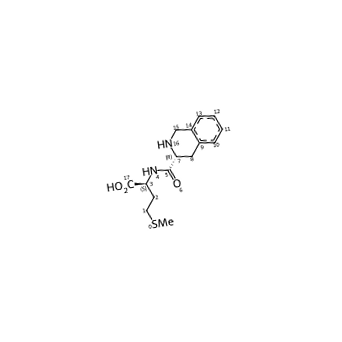 CSCC[C@H](NC(=O)[C@H]1Cc2ccccc2CN1)C(=O)O